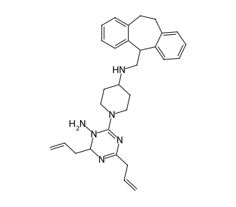 C=CCC1=NC(CC=C)N(N)C(N2CCC(NCC3c4ccccc4CCc4ccccc43)CC2)=N1